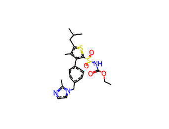 CCOC(=O)NS(=O)(=O)c1sc(CC(C)C)c(C)c1-c1ccc(Cn2ccnc2C)cc1